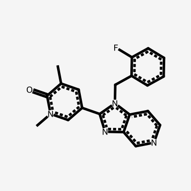 Cc1cc(-c2nc3cnccc3n2Cc2ccccc2F)cn(C)c1=O